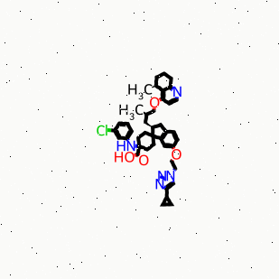 C[C@@H](COc1ccnc2c1[C@H](C)CCC2)C[C@H]1Cc2ccc(OCCn3cc(C4CC4)nn3)cc2C12CCC(Nc1cccc(Cl)c1)(C(=O)O)CC2